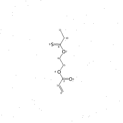 C=CC(=O)OCCOC(=S)CC